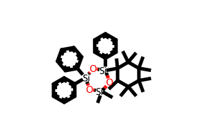 CC1C(C)(C)C(C)(C)C(C)(C)C(C)(C)C1(C)[Si]1(c2ccccc2)O[Si](C)(C)O[Si](c2ccccc2)(c2ccccc2)O1